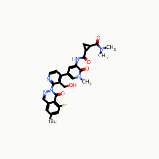 CN(C)C(=O)C1CC1C(=O)Nc1cc(-c2ccnc(-n3ncc4cc(C(C)(C)C)cc(F)c4c3=O)c2CO)cn(C)c1=O